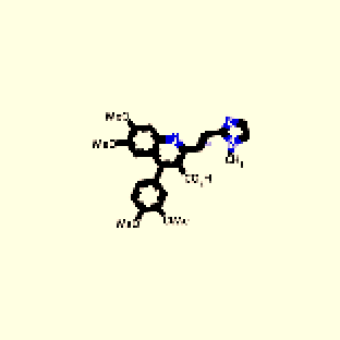 COc1ccc(-c2c(C(=O)O)c(/C=C/c3nccn3C)nc3cc(OC)c(OC)cc23)cc1OC